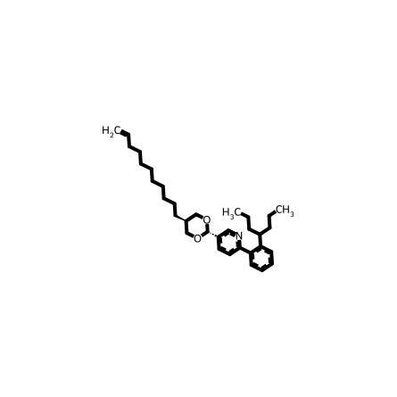 C=CCCCCCCCCC[C@H]1CO[C@H](c2ccc(-c3ccccc3C(CCC)CCC)nc2)OC1